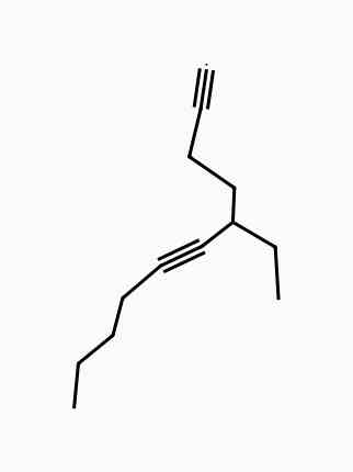 [C]#CCCC(C#CCCCC)CC